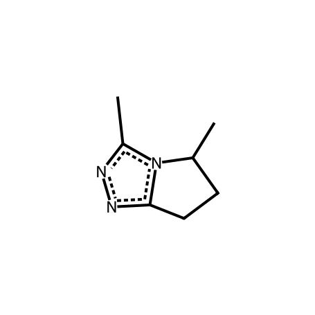 Cc1nnc2n1C(C)CC2